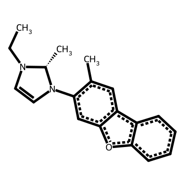 CCN1C=CN(c2cc3oc4ccccc4c3cc2C)[C@H]1C